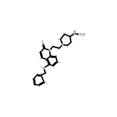 O=C(O)NC1CCN(CCn2c(=O)ccc3c(OCc4ccccc4)cccc32)CC1